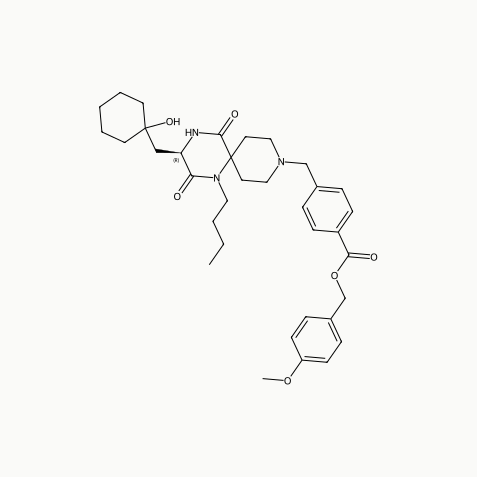 CCCCN1C(=O)[C@@H](CC2(O)CCCCC2)NC(=O)C12CCN(Cc1ccc(C(=O)OCc3ccc(OC)cc3)cc1)CC2